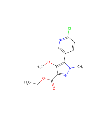 CCOC(=O)c1nn(C)c(-c2ccc(Cl)nc2)c1OC